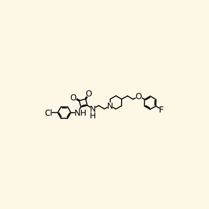 O=c1c(NCCN2CCC(CCOc3ccc(F)cc3)CC2)c(Nc2ccc(Cl)cc2)c1=O